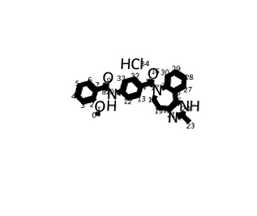 COc1ccccc1C(=O)Nc1ccc(C(=O)N2CCc3nc(C)[nH]c3-c3ccccc32)cc1.Cl